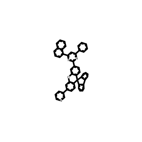 c1ccc(-c2cc(-c3cccc4ccccc34)nc(-c3ccc4c(c3)Oc3cc(-c5cccnc5)ccc3C43c4ccccc4-c4ccccc43)n2)cc1